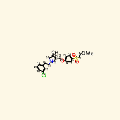 COCCS(=O)(=O)c1ccc(OC[C@H]2CN(CCc3cccc(Cl)c3)C[C@@H]2C)cc1